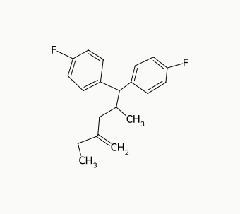 C=C(CC)CC(C)C(c1ccc(F)cc1)c1ccc(F)cc1